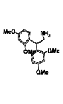 COc1ccc(C(CN)c2ccc(OC)cc2OC)c(OC)c1